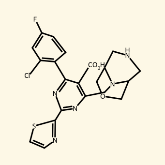 O=C(O)c1c(CN2C3CNCC2COC3)nc(-c2nccs2)nc1-c1ccc(F)cc1Cl